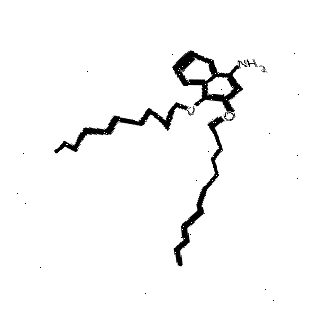 CCCCCCCCCCOc1cc(N)c2ccccc2c1OCCCCCCCCCC